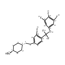 CCCC[C@H]1CC[C@H](CCc2ccc(C(F)(F)Oc3cc(F)c(F)c(F)c3)c(F)c2)CC1